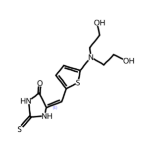 O=C1NC(=S)N/C1=C/c1ccc(N(CCO)CCO)s1